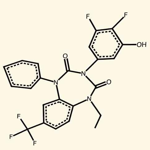 CCN1C(=O)N(c2cc(O)c(F)c(F)c2)C(=O)N(c2ccccc2)c2cc(C(F)(F)F)ccc21